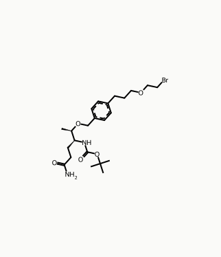 C[C@@H](OCc1ccc(CCCOCCBr)cc1)[C@H](CCC(N)=O)NC(=O)OC(C)(C)C